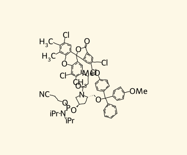 COc1ccc(C(OC[C@@H]2C[C@@H](OP(OCCC#N)N(C(C)C)C(C)C)CN2C(=O)CCc2cc3c(c(Cl)c2C)Oc2c(cc(Cl)c(C)c2C)C32OC(=O)c3cc(Cl)c(Cl)cc32)(c2ccccc2)c2ccc(OC)cc2)cc1